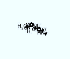 CS(=O)(=O)Nc1cccc(NC(=O)c2ccc(C(=O)NC3CC3)cc2)c1